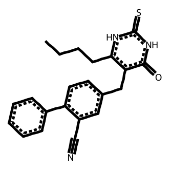 CCCCc1[nH]c(=S)[nH]c(=O)c1Cc1ccc(-c2ccccc2)c(C#N)c1